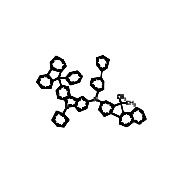 CC1(C)c2cc(N(c3ccc(-c4ccccc4)cc3)c3ccc4c(c3)c3cc(C5(c6ccccc6)c6ccccc6-c6ccccc65)ccc3n4-c3ccccc3)ccc2-c2ccc3ccccc3c21